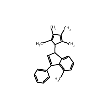 CC1=C(C)C(C)=C(C)[C]1C1C=C(c2ccccc2)c2c(C)cccc21